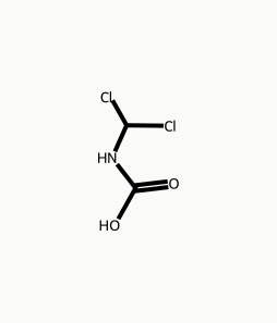 O=C(O)NC(Cl)Cl